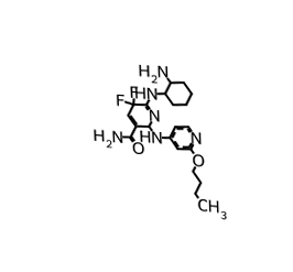 CCCCOc1cc(NC2N=C(NC3CCCCC3N)C(F)(F)C=C2C(N)=O)ccn1